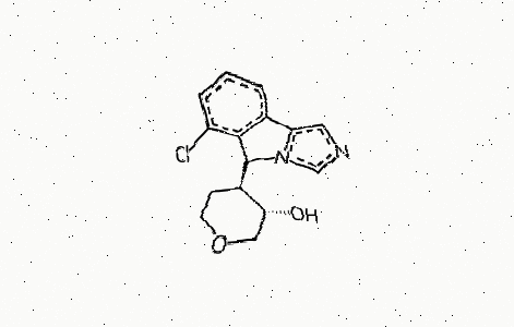 O[C@@H]1COCC[C@H]1C1c2c(Cl)cccc2-c2cncn21